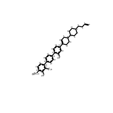 C=CCCC1CCC(C2CC=C(c3ccc(-c4ccc(-c5ccc(CCC)c(F)c5F)cc4)c(F)c3)CC2)CC1